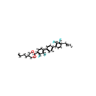 BCc1ccc(-c2ccc(-c3ccc(C4OCC(CCC=C)CO4)c(F)c3F)cc2)c(F)c1F